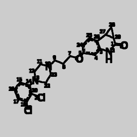 O=C1Nc2cc(OCCCN3CCN(c4cccc(Cl)c4Cl)CC3)ccc2C2CC12